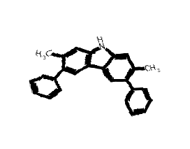 Cc1cc2[nH]c3cc(C)c(-c4ccccc4)cc3c2cc1-c1ccccc1